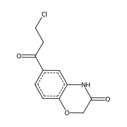 O=C1COc2ccc(C(=O)CCCl)cc2N1